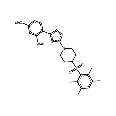 COc1ccc(-c2csc(N3CCC(S(=O)(=O)c4c(C)c(C)cc(C)c4C)CC3)n2)c(OC)c1